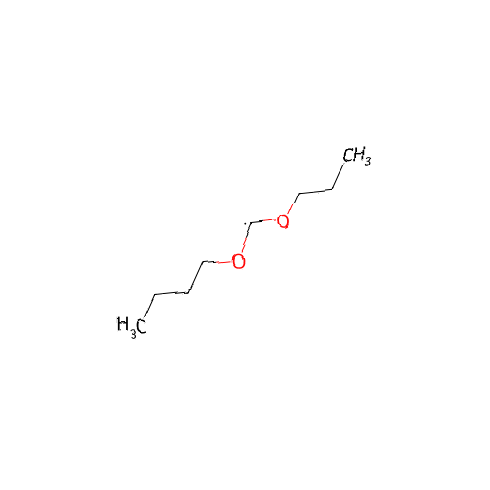 CCCCO[CH]OCCC